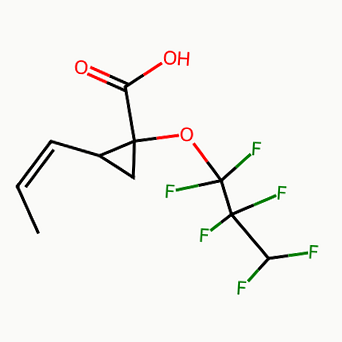 C/C=C\C1CC1(OC(F)(F)C(F)(F)C(F)F)C(=O)O